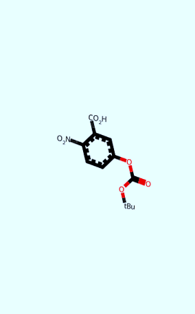 CC(C)(C)OC(=O)Oc1ccc([N+](=O)[O-])c(C(=O)O)c1